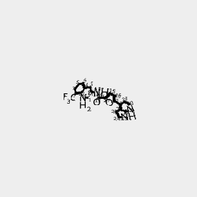 NC[C@H](Cc1cccc(C(F)(F)F)c1)NC(=O)c1ccc(-c2ccnc3[nH]ccc23)o1